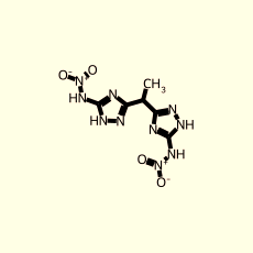 CC(c1n[nH]c(N[N+](=O)[O-])n1)c1n[nH]c(N[N+](=O)[O-])n1